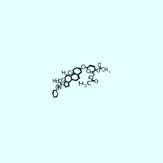 CC(=O)OC[C@H]1OC(O[C@H]2CC[C@@]3(C)C(=CCC4C3CC[C@@]3(C)C4CC[C@@H]3/C(C)=N/OC3C=CCCC3)C2)C=C[C@@H]1OC(C)=O